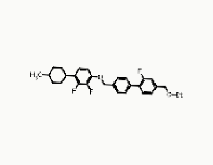 CCOCc1ccc(-c2ccc(COc3ccc(C4CCC(C)CC4)c(F)c3F)cc2)c(F)c1